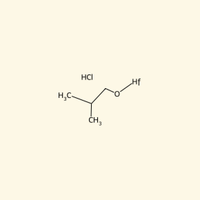 CC(C)C[O][Hf].Cl